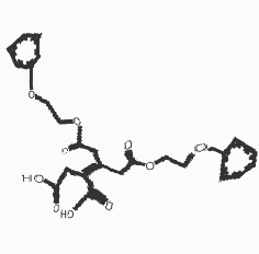 O=C(O)CC(C(=O)O)=C(CC(=O)OCCOc1ccccc1)CC(=O)OCCOc1ccccc1